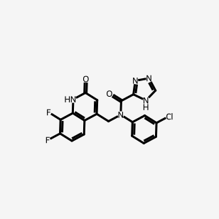 O=C(c1nnc[nH]1)N(Cc1cc(=O)[nH]c2c(F)c(F)ccc12)c1cccc(Cl)c1